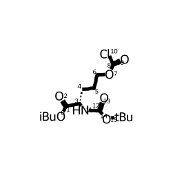 CC(C)COC(=O)[C@H](CCCOC(=O)Cl)NC(=O)OC(C)(C)C